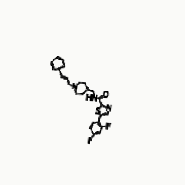 O=C(NCC1CCN(CC=Cc2ccccc2)CC1)c1ncc(-c2ccc(F)cc2F)s1